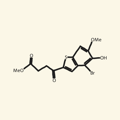 COC(=O)CCC(=O)c1cc2c(Br)c(O)c(OC)cc2s1